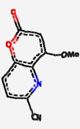 COc1cc(=O)oc2ccc(C#N)nc12